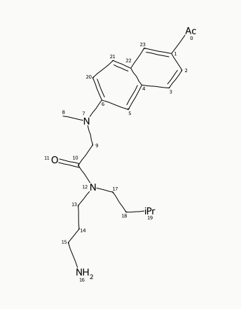 CC(=O)c1ccc2cc(N(C)CC(=O)N(CCCN)CCC(C)C)ccc2c1